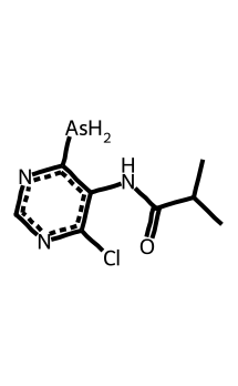 CC(C)C(=O)Nc1c(Cl)ncnc1[AsH2]